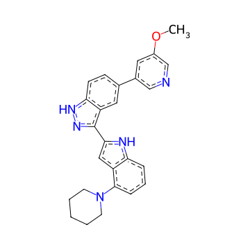 COc1cncc(-c2ccc3[nH]nc(-c4cc5c(N6CCCCC6)cccc5[nH]4)c3c2)c1